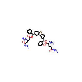 NC(=O)CCC(N)C(=O)OB(c1ccccc1)c1ccc2sc3ccc(B(OC(=O)CC(N)CC(N)=O)c4ccccc4)cc3c2c1